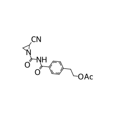 CC(=O)OCCc1ccc(C(=O)NC(=O)N2CC2C#N)cc1